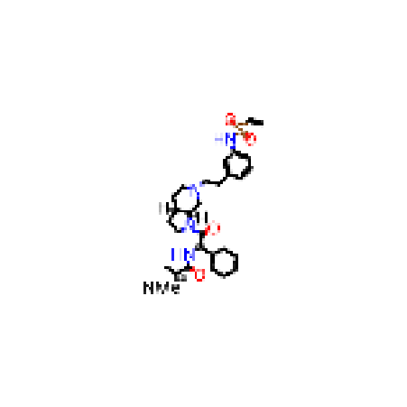 C=CS(=O)(=O)Nc1cccc(CCN2CC[C@@H]3CCN(C(=O)[C@@H](NC(=O)[C@H](C)NC)C4CCCCC4)[C@@H]3C2)c1